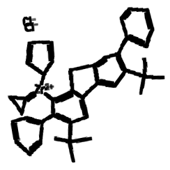 CC(C)(C)c1cc2c(cc1-c1ccccc1)Cc1c-2cc(C(C)(C)C)c(-c2ccccc2)[c]1[Zr+2](=[C]1CC1)[CH]1C=CC=C1.[Cl-].[Cl-]